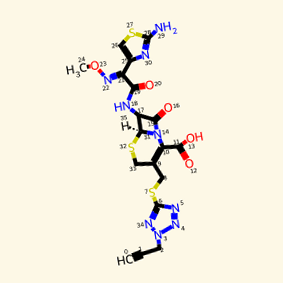 C#CCn1nnc(SCC2=C(C(=O)O)N3C(=O)C(NC(=O)C(=NOC)c4csc(N)n4)[C@@H]3SC2)n1